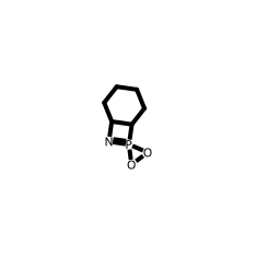 C1CCC2C(C1)N=P21OO1